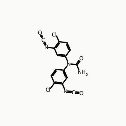 NC(=O)N(c1ccc(Cl)c(N=C=O)c1)c1ccc(Cl)c(N=C=O)c1